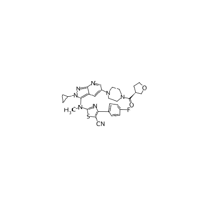 CN(c1nc(-c2ccc(F)cc2)c(C#N)s1)c1c2cc(N3CCN(C(=O)[C@H]4CCOC4)CC3)cnc2nn1C1CC1